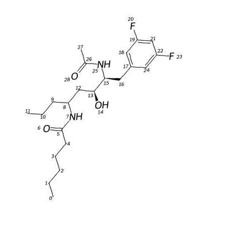 CCCCCC(=O)NC(CCC)C[C@H](O)[C@H](Cc1cc(F)cc(F)c1)NC(C)=O